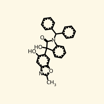 Cc1nc2cc(O)c(C3(O)C(=O)N(C(c4ccccc4)c4ccccc4)c4ccccc43)cc2o1